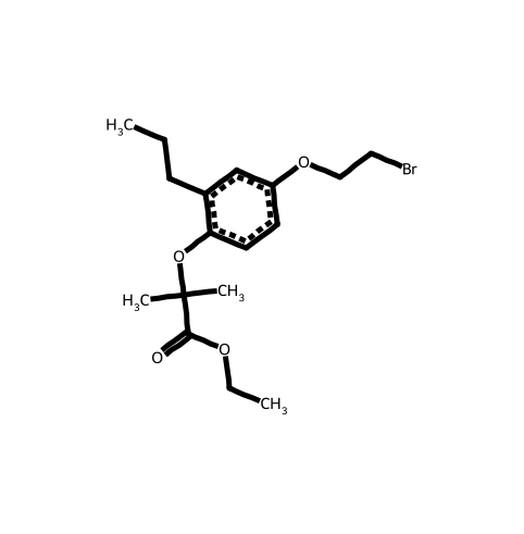 CCCc1cc(OCCBr)ccc1OC(C)(C)C(=O)OCC